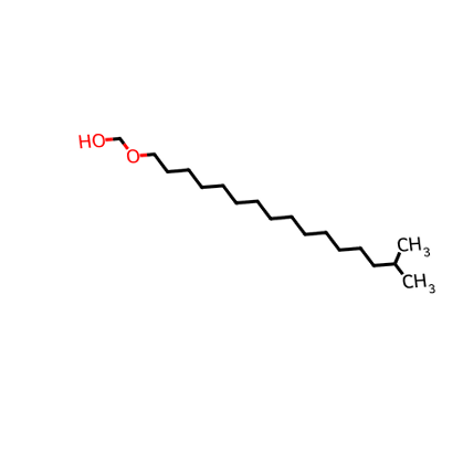 CC(C)CCCCCCCCCCCCCCOCO